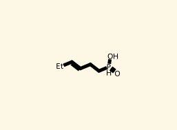 CCC=CCC[PH](=O)O